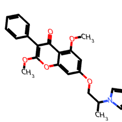 COc1oc2cc(OCC(C)n3ccnc3)cc(OC)c2c(=O)c1-c1ccccc1